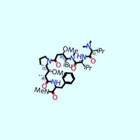 CCC(C)[C@@H]([C@@H](CC(=O)N1CCC[C@H]1[C@H](OC)[C@@H](C)C(=O)NC(Cc1ccccc1)C(=O)NC)OC)N(C)C(=O)[C@@H](NC(=O)[C@H](C(C)C)N(C)C)C(C)C